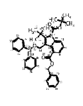 CC(C)(C)OC(=O)n1c(C(C)(C)C)c(CO[SiH](c2ccccc2)c2ccccc2)c2c(C(=O)OCc3ccccc3)cccc21